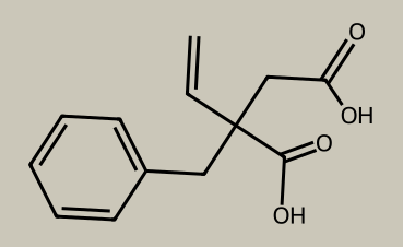 C=CC(CC(=O)O)(Cc1ccccc1)C(=O)O